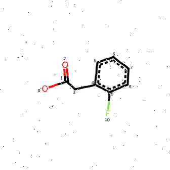 [O]C(=O)Cc1ccccc1F